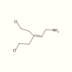 NCC=C(CCCl)CCCl